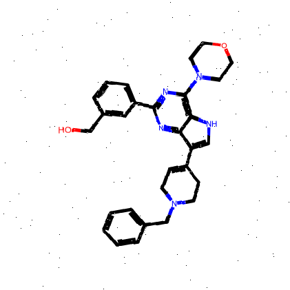 OCc1cccc(-c2nc(N3CCOCC3)c3[nH]cc(C4=CCN(Cc5ccccc5)CC4)c3n2)c1